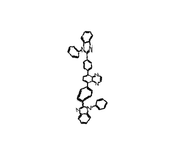 c1ccc(-n2c(-c3ccc(-c4ccc(-c5ccc(-c6nc7ccccc7n6-c6ccccc6)cc5)c5nccnc45)cc3)nc3ccccc32)cc1